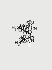 Cn1cc(Nc2nccc(-c3cc(C#N)c4c(c3)[C@@](C)(CO[Si](C)(C)C(C)(C)C)CN4C(=O)OC(C)(C)C)n2)c(OCCN2CCOCC2)n1